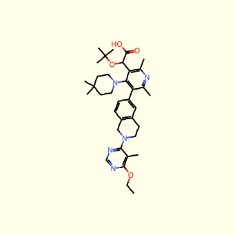 CCOc1ncnc(N2CCc3cc(-c4c(C)nc(C)c(C(OC(C)(C)C)C(=O)O)c4N4CCC(C)(C)CC4)ccc3C2)c1C